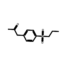 CCCS(=O)(=O)c1ccc(CC(C)=O)cc1